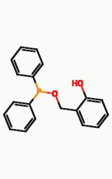 Oc1ccccc1COP(c1ccccc1)c1ccccc1